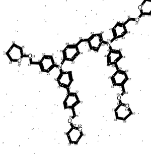 c1cc(-c2ccc(N(c3ccc(COC4CCCCO4)cc3)c3ccc(Cc4ccc(N(c5ccc(COC6CCCCO6)cc5)c5ccc(-c6ccc(COC7CCCCO7)cc6)cc5)cc4)cc3)cc2)ccc1COC1CCCCO1